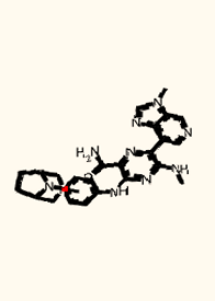 CNc1nc(Nc2ccc(N3C4CCC3CN(C)C4)cc2)c(C(N)=O)nc1-c1cncc2c1ncn2C